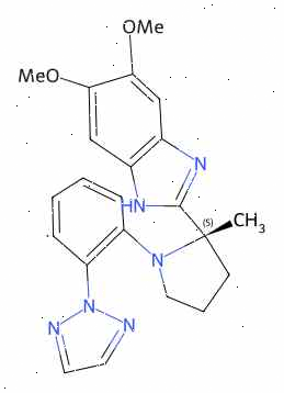 COc1cc2nc([C@]3(C)CCCN3c3ccc[c]c3-n3nccn3)[nH]c2cc1OC